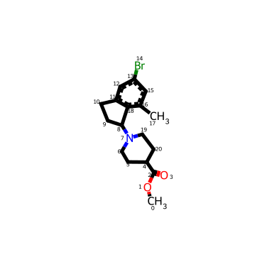 COC(=O)C1CCN(C2CCc3cc(Br)cc(C)c32)CC1